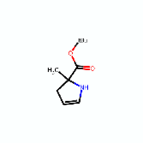 CC(C)(C)OC(=O)C1(C)CC=CN1